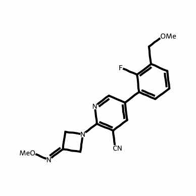 COCc1cccc(-c2cnc(N3CC(=NOC)C3)c(C#N)c2)c1F